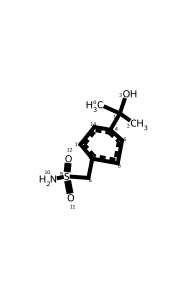 CC(C)(O)c1ccc(CS(N)(=O)=O)cc1